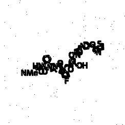 CN[C@@H](C)C(=O)N[C@H](C(=O)N1CCN(C(=O)c2cc3cc(F)ccc3n2CC(=O)N2C[C@@H](Oc3cc(CN4CCC(Oc5ccnc6ccsc56)CC4)on3)C[C@H]2CO)[C@@H](C)C1)C1CCCCC1